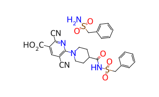 N#Cc1cc(C(=O)O)c(C#N)nc1N1CCC(C(=O)NS(=O)(=O)Cc2ccccc2)CC1.NS(=O)(=O)Cc1ccccc1